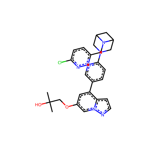 CC(C)(O)COc1cc(-c2ccc(N3CC4CC(C3)N4Cc3ccc(Cl)nn3)nc2)c2ccnn2c1